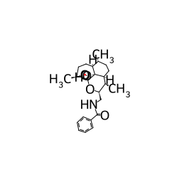 C[C@H]1[C@@H](CNC(=O)c2ccccc2)O[C@@H]2O[C@@]3(C)CC[C@H]4[C@H](C)CC[C@@H]1[C@@]24OO3